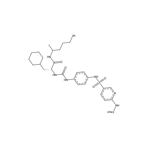 CCCCCCNc1ccc(S(=O)(=O)Nc2ccc(NC(=O)N[C@H](CC3CCCCC3)C(=O)NC(C)CCCC(C)C)cc2)cn1